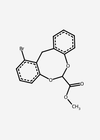 COC(=O)C1Oc2ccccc2Cc2c(Br)cccc2O1